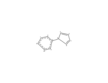 [c]1ccc(C2C=CC=C2)cc1